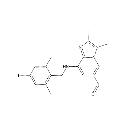 Cc1cc(F)cc(C)c1CNc1cc(C=O)cn2c(C)c(C)nc12